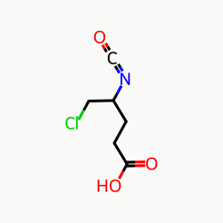 O=C=NC(CCl)CCC(=O)O